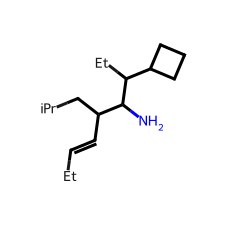 CCC=CC(CC(C)C)C(N)C(CC)C1CCC1